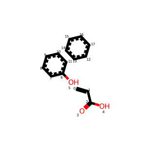 C=CC(=O)O.Oc1ccccc1.c1ccccc1